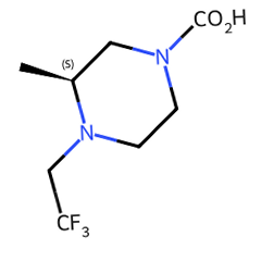 C[C@H]1CN(C(=O)O)CCN1CC(F)(F)F